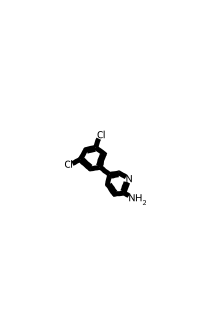 Nc1ccc(-c2cc(Cl)cc(Cl)c2)cn1